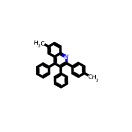 Cc1ccc(-c2nc3ccc(C)cc3c(-c3ccccc3)c2-c2ccccc2)cc1